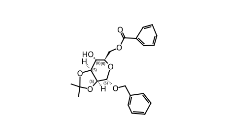 CC1(C)O[C@@H]2[C@@H](OCc3ccccc3)O[C@H](COC(=O)c3ccccc3)[C@@H](O)[C@@H]2O1